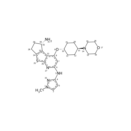 Cn1ccc(Nc2cc(O[C@H]3CC[C@H](N4CCOCC4)CC3)c3c4c(sc3n2)CC[C@@H]4N)n1